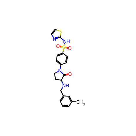 Cc1cccc(CNC2CCN(c3ccc(S(=O)(=O)Nc4nccs4)cc3)C2=O)c1